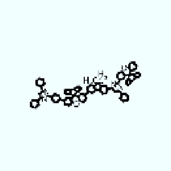 CC1(C)c2ccc(-c3ccc4c(c3)C3(c5cc(-c6ccc(-c7nc(-c8ccccc8)cc(-c8ccccc8)n7)cc6)ccc5O4)c4ccccc4-c4ccccc43)cc2-c2ccc(-c3cc(-c4ccccc4)nc(-c4ccc5c(c4)C4(c6ccccc6O5)c5ccccc5-c5ccccc54)n3)cc21